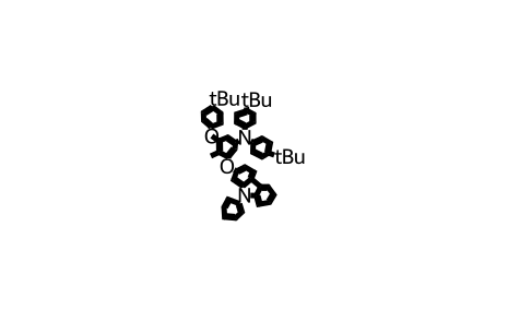 Cc1c(Oc2ccc(C(C)(C)C)cc2)cc(N(c2ccc(C(C)(C)C)cc2)c2ccc(C(C)(C)C)cc2)cc1Oc1ccc2c3ccccc3n(-c3ccccc3)c2c1